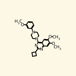 COc1cccc(N2CCN(c3nc(C4CCC4)nc4cc(OC)c(OC)cc34)CC2)c1